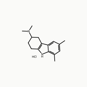 Cc1cc(C)c2[nH]c3c(c2c1)CC(N(C)C)CC3.Cl